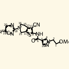 COCCn1cc(C(=O)Nc2sc3c(c2C#N)CCN(c2ncc(Br)cn2)C3)cn1